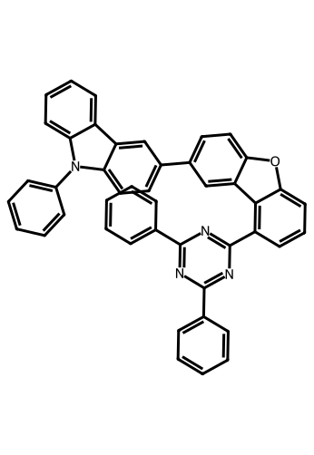 c1ccc(-c2nc(-c3ccccc3)nc(-c3cccc4oc5ccc(-c6ccc7c(c6)c6ccccc6n7-c6ccccc6)cc5c34)n2)cc1